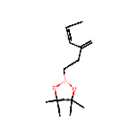 C=C(/C=C\C)CCB1OC(C)(C)C(C)(C)O1